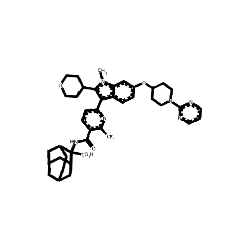 Cn1c(C2CCOCC2)c(-c2ccc(C(=O)NC3(C(=O)O)C4CC5CC(C4)CC3C5)c(C(F)(F)F)n2)c2ccc(OC3CCN(c4ncccn4)CC3)cc21